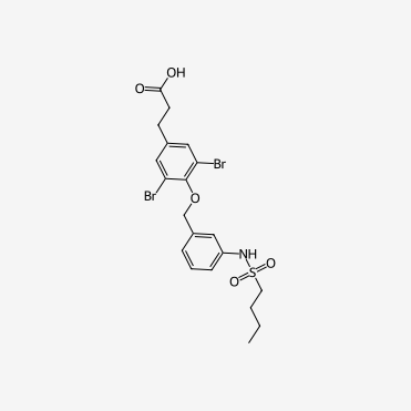 CCCCS(=O)(=O)Nc1cccc(COc2c(Br)cc(CCC(=O)O)cc2Br)c1